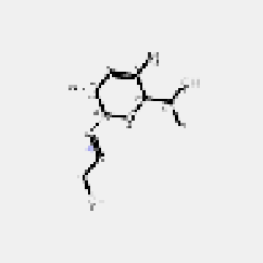 C[C@H](O)[C@H]1O[C@H](/C=C/CO)[C@H](C)C=C1Br